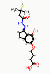 CC(C)(S)CC(=O)N/N=C1\CCc2cc(OCCCC(=O)O)cc(O)c21